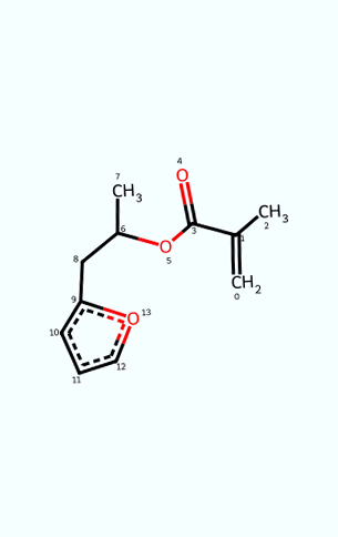 C=C(C)C(=O)OC(C)Cc1ccco1